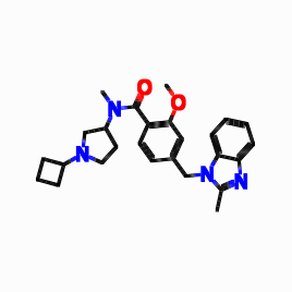 COc1cc(Cn2c(C)nc3ccccc32)ccc1C(=O)N(C)C1CCN(C2CCC2)C1